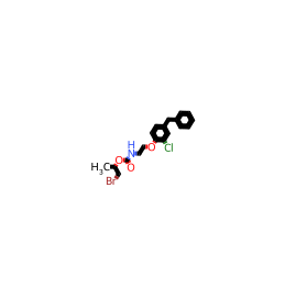 CC(CBr)OC(=O)NCCOc1ccc(Cc2ccccc2)cc1Cl